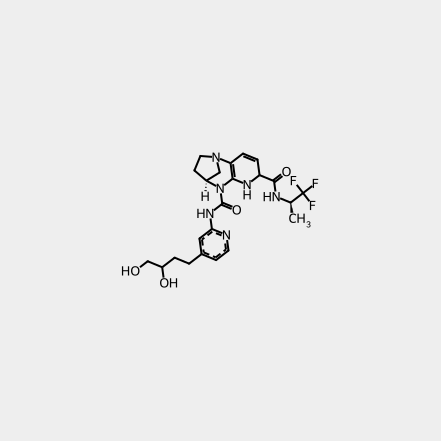 C[C@@H](NC(=O)C1C=CC2=C(N1)N(C(=O)Nc1cc(CCC(O)CO)ccn1)[C@H]1CCN2C1)C(F)(F)F